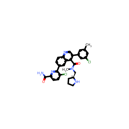 Cc1cc(Cl)cc(-c2cnc3ccc(-c4nc(C(N)=O)ccc4Cl)cc3c2C(=O)N(C)C[C@@H]2CCCN2)c1